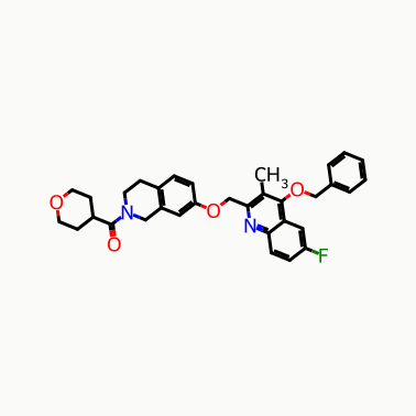 Cc1c(COc2ccc3c(c2)CN(C(=O)C2CCOCC2)CC3)nc2ccc(F)cc2c1OCc1ccccc1